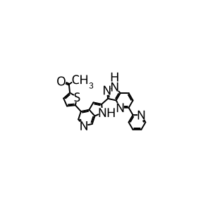 CC(=O)c1ccc(-c2cncc3[nH]c(-c4n[nH]c5ccc(-c6ccccn6)nc45)cc23)s1